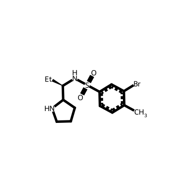 CC[C@@H](NS(=O)(=O)c1ccc(C)c(Br)c1)C1CCCN1